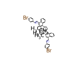 CC1(C)c2cc(/C=C/c3ccc(Br)cc3)c3ccccc3c2-c2ccc3c(c21)C(C)(C)c1cc(/C=C/c2ccc(Br)cc2)c2ccccc2c1-3